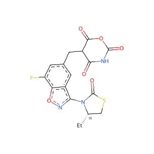 CC[C@H]1CSC(=O)N1c1noc2c(F)cc(CC3C(=O)NC(=O)OC3=O)cc12